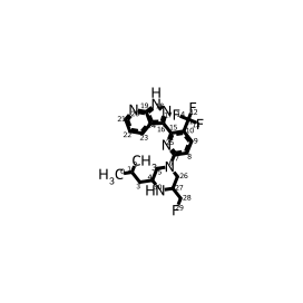 CC(C)CC1CN(c2ccc(C(F)(F)F)c(-c3n[nH]c4ncccc34)n2)CC(CF)N1